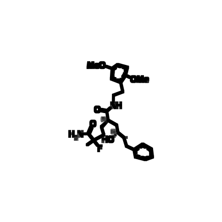 COc1ccc(OC)c(CCNC(=O)[C@H](CCC(C)(F)C(N)=O)C[C@@H](O)[CH]Cc2ccccc2)c1